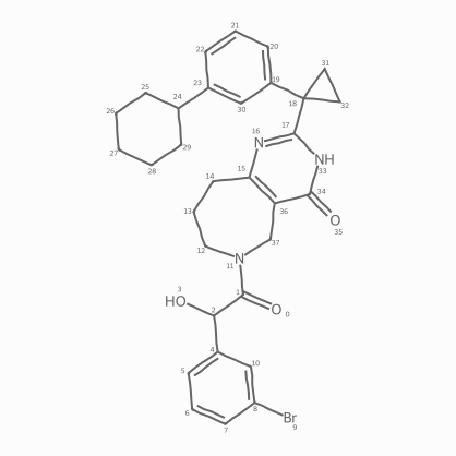 O=C(C(O)c1cccc(Br)c1)N1CCCc2nc(C3(c4cccc(C5CCCCC5)c4)CC3)[nH]c(=O)c2C1